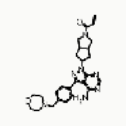 C=CC(=O)N1CC2CC(n3nc(-c4ccc(CN5CCOCC5)cc4)c4c(N)ncnc43)CC2C1